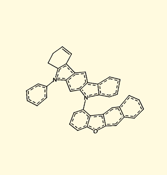 C1=Cc2c(n(-c3ccccc3)c3cc4c(cc23)c2ccccc2n4-c2cccc3oc4cc5ccccc5cc4c23)CC1